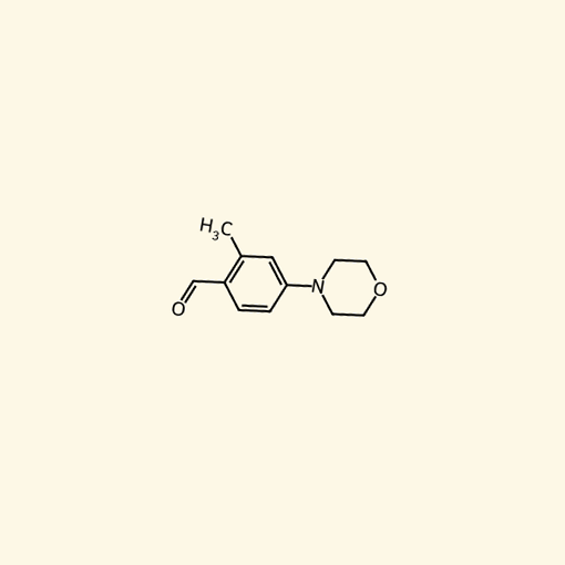 Cc1cc(N2CCOCC2)ccc1C=O